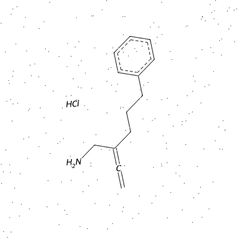 C=C=C(CN)CCCc1ccccc1.Cl